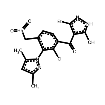 CCc1n[nH]c(O)c1C(=O)c1ccc(C[SH](=O)=O)c(-n2nc(C)cc2C)c1Cl